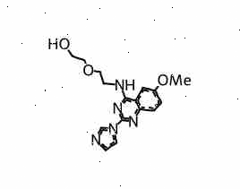 COc1ccc2nc(-n3ccnc3)nc(NCCOCCO)c2c1